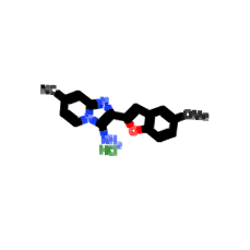 COc1ccc2oc(-c3nc4cc(C#N)ccn4c3N)cc2c1.Cl